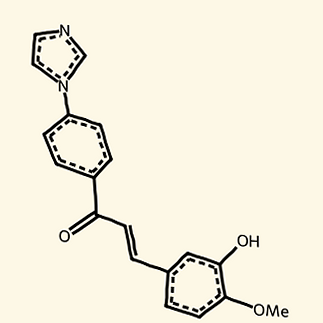 COc1ccc(C=CC(=O)c2ccc(-n3ccnc3)cc2)cc1O